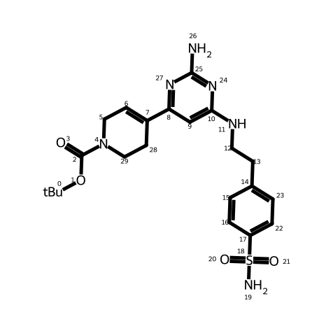 CC(C)(C)OC(=O)N1CC=C(c2cc(NCCc3ccc(S(N)(=O)=O)cc3)nc(N)n2)CC1